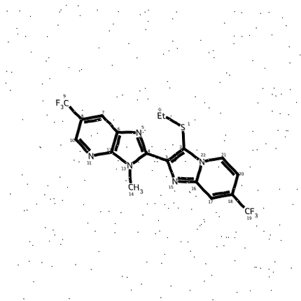 CCSc1c(-c2nc3cc(C(F)(F)F)cnc3n2C)nc2cc(C(F)(F)F)ccn12